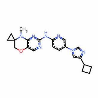 CN1c2nc(Nc3ccc(-n4cnc(C5CCC5)c4)cn3)ncc2OCC12CC2